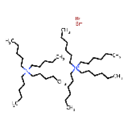 CCCCCC[N+](CCCCCC)(CCCCCC)CCCCCC.CCCCC[N+](CCCCC)(CCCCC)CCCCC.[Br-].[Br-]